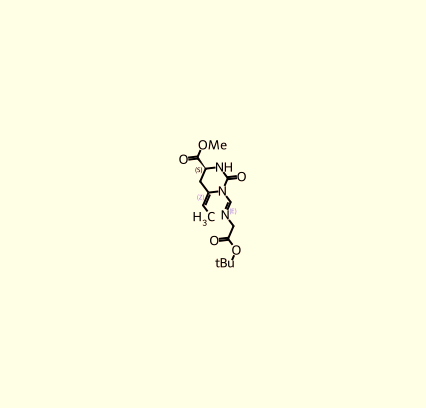 C/C=C1/C[C@@H](C(=O)OC)NC(=O)N1/C=N/CC(=O)OC(C)(C)C